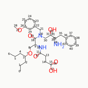 CCCC(CCC)OCC(NC(=O)CCC(=O)O)C(=O)N(Cc1cccc(OC)c1)C[C@@H](O)[C@@H](N)Cc1ccccc1